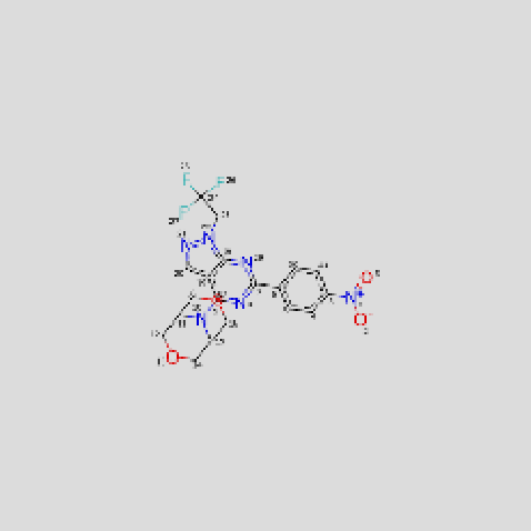 O=[N+]([O-])c1ccc(-c2nc(N3C4COCC3COC4)c3cnn(CC(F)(F)F)c3n2)cc1